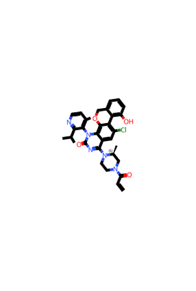 C=CC(=O)N1CCN(c2nc(=O)n(-c3c(C)ccnc3C(C)C)c3c4c(c(Cl)cc23)-c2c(O)cccc2CO4)[C@@H](C)C1